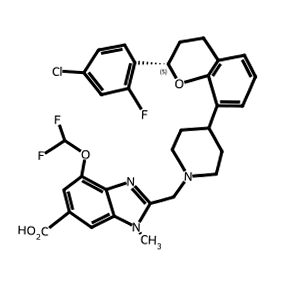 Cn1c(CN2CCC(c3cccc4c3O[C@H](c3ccc(Cl)cc3F)CC4)CC2)nc2c(OC(F)F)cc(C(=O)O)cc21